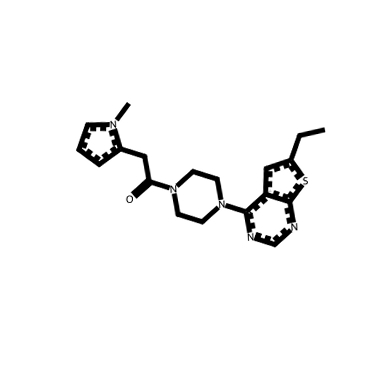 CCc1cc2c(N3CCN(C(=O)Cc4cccn4C)CC3)ncnc2s1